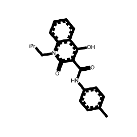 Cc1ccc(NC(=O)c2c(O)c3ccccc3n(CC(C)C)c2=O)cc1